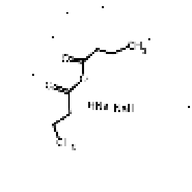 CCCC(=O)OC(=O)CCC.[NaH].[NaH]